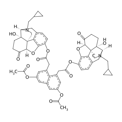 CC(=O)Oc1cc(CC(=O)Oc2ccc3c4c2O[C@H]2C(=O)CC[C@@]5(O)[C@@H](C3)N(CC3CC3)CC[C@]425)c2c(CC(=O)Oc3ccc4c5c3O[C@H]3C(=O)CC[C@@]6(O)[C@@H](C4)N(CC4CC4)CC[C@]536)cc(OC(C)=O)cc2c1